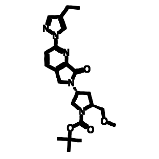 CCc1cnn(-c2ccc3c(n2)C(=O)N([C@@H]2C[C@@H](COC)N(C(=O)OC(C)(C)C)C2)C3)c1